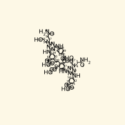 NC(=O)CCN(CCO)c1nc(Nc2ccc(S(=O)(=O)O)cc2)nc(Nc2ccc(/C=C/c3ccc(Nc4nc(Nc5ccc(SOOO)cc5)nc(N(CCO)CCC(N)=O)n4)cc3S(=O)(=O)O)c(SOOO)c2)n1